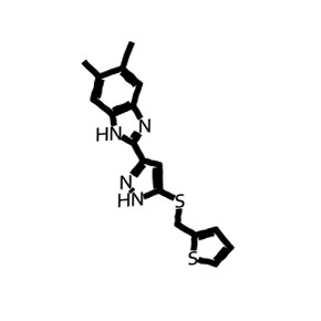 Cc1cc2nc(-c3cc(SCc4cccs4)[nH]n3)[nH]c2cc1C